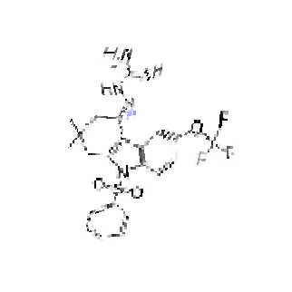 CC1(C)C/C(=N\NC(=N)N)c2c(n(S(=O)(=O)c3ccccc3)c3ccc(OC(F)(F)F)cc23)C1